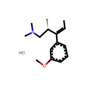 C/C=C(/c1cccc(OC)c1)[C@@H](C)CN(C)C.Cl